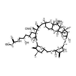 C=C1C2C[C@@H]3OC(C[C@H](O)CNC(=O)OC(C)(C)C)[C@H](OC)[C@H]3C(C)C(=O)C[C@H]3CCC4O[C@@H]5[C@@H](O[C@@H]6C[C@@H](CC[C@H]7CC(=C)[C@H](CCC(C[C@H]1C)O2)O7)O[C@H]56)[C@@H](OC)[C@H]4O3